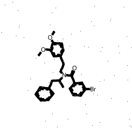 COc1ccc(CCN(C(=O)c2cccc(Br)c2)C(C)Cc2ccccc2)cc1OC